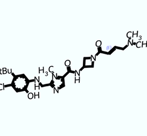 CN(C)C/C=C/C(=O)N1CC(NC(=O)c2cnc(CNc3cc(C(C)(C)C)c(Cl)cc3O)n2C)C1